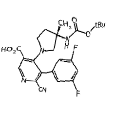 CC(C)(C)OC(=O)N[C@@]1(C)CCN(c2c(C(=O)O)cnc(C#N)c2-c2cc(F)cc(F)c2)C1